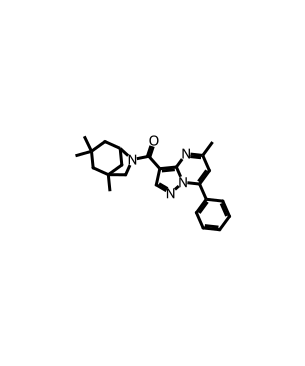 Cc1cc(-c2ccccc2)n2ncc(C(=O)N3CC4(C)CC3CC(C)(C)C4)c2n1